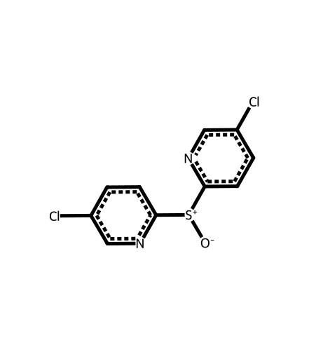 [O-][S+](c1ccc(Cl)cn1)c1ccc(Cl)cn1